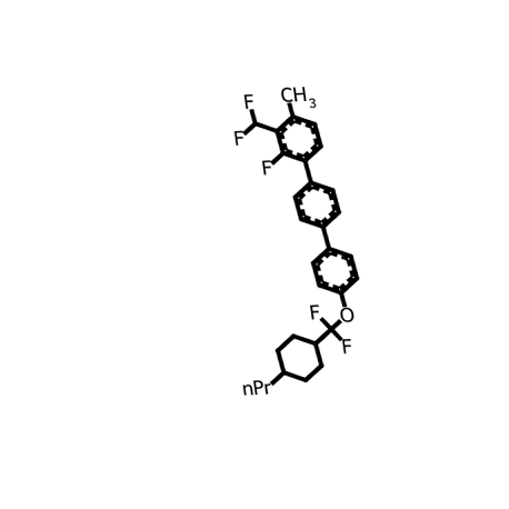 CCCC1CCC(C(F)(F)Oc2ccc(-c3ccc(-c4ccc(C)c(C(F)F)c4F)cc3)cc2)CC1